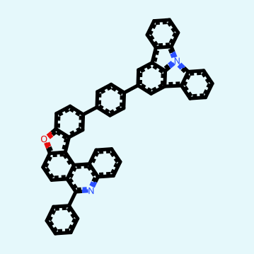 c1ccc(-c2nc3ccccc3c3c2ccc2oc4ccc(-c5ccc(-c6cc7c8ccccc8n8c9ccccc9c(c6)c78)cc5)cc4c23)cc1